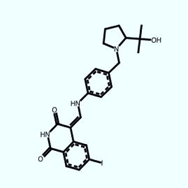 CC(C)(O)C1CCCN1Cc1ccc(NC=C2C(=O)NC(=O)c3ccc(I)cc32)cc1